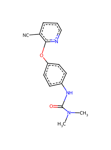 CN(C)C(=O)Nc1ccc(Oc2ncccc2C#N)cc1